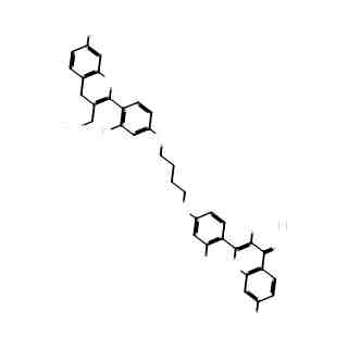 O=C(O)c1c(-c2ccc(OCCCCOc3ccc(C4=C(CO)Cc5ccc(Cl)cc5O4)c(F)c3)cc2F)oc2cc(Cl)ccc2c1=O